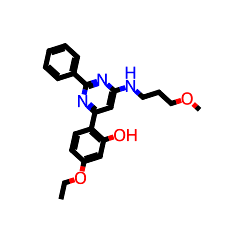 CCOc1ccc(-c2cc(NCCCOC)nc(-c3ccccc3)n2)c(O)c1